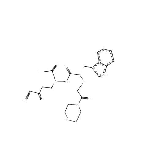 N=CC(=O)CC[C@H](NC(=O)[C@H](Cc1c[nH]c2ccccc12)NCC(=O)N1CCNCC1)C(=O)O